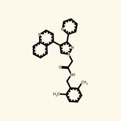 Cc1cccc(C)c1CNC(=O)Cn1cc(-c2ccnc3ccccc23)c(-c2ccccn2)n1